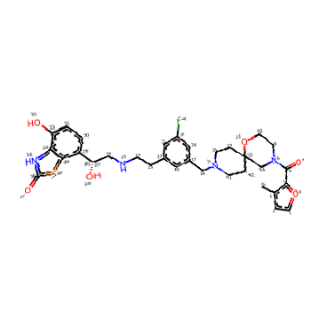 Cc1ccoc1C(=O)N1CCOC2(CCN(Cc3cc(F)cc(CCNC[C@H](O)c4ccc(O)c5[nH]c(=O)sc45)c3)CC2)C1